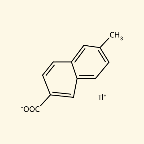 Cc1ccc2cc(C(=O)[O-])ccc2c1.[Tl+]